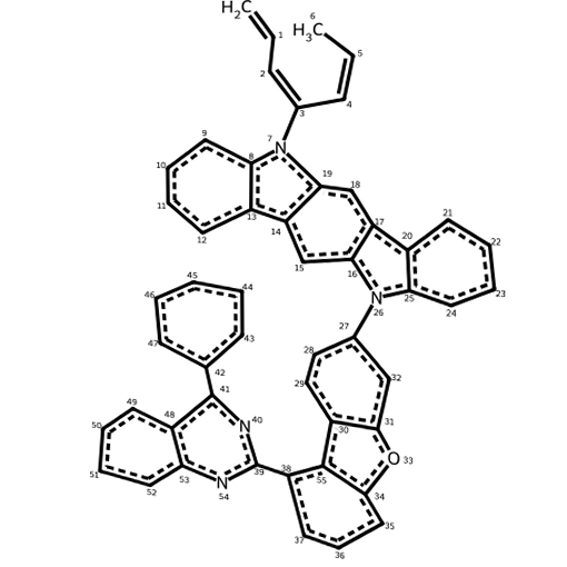 C=C/C=C(\C=C/C)n1c2ccccc2c2cc3c(cc21)c1ccccc1n3-c1ccc2c(c1)oc1cccc(-c3nc(-c4ccccc4)c4ccccc4n3)c12